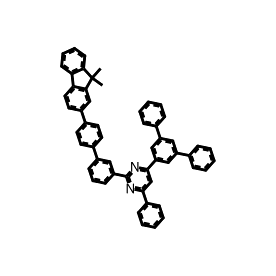 CC1(C)c2ccccc2-c2ccc(-c3ccc(-c4cccc(-c5nc(-c6ccccc6)cc(-c6cc(-c7ccccc7)cc(-c7ccccc7)c6)n5)c4)cc3)cc21